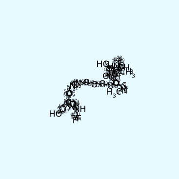 Cc1ncsc1-c1ccc(CNC(=O)[C@@H]2C[C@@H](O)CN2C(=O)[C@@H](NC(=O)C2(F)CC2)C(C)(C)C)c(OCCOCCOCCOCCN2CCN(Cc3ccc(-c4cn([C@H]5CC[C@H](O)CC5)c5nc(NCCC(F)(F)F)ncc45)cc3)CC2)c1